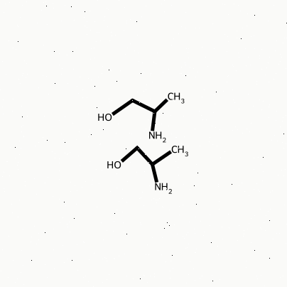 CC(N)CO.CC(N)CO